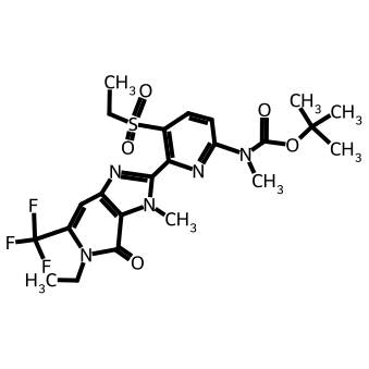 CCn1c(C(F)(F)F)cc2nc(-c3nc(N(C)C(=O)OC(C)(C)C)ccc3S(=O)(=O)CC)n(C)c2c1=O